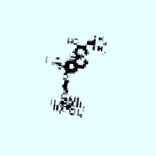 COc1cc2c(cc1OCCCO[Si](C)(C)C(C)(C)C)CCN1C[C@@H](CC(C)C)C(O)C[C@H]21